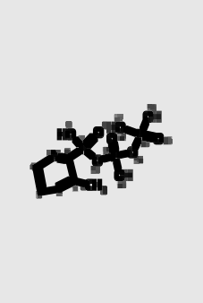 Cc1cccnc1P(=O)(O)OP(=O)(O)OP(=O)(O)O